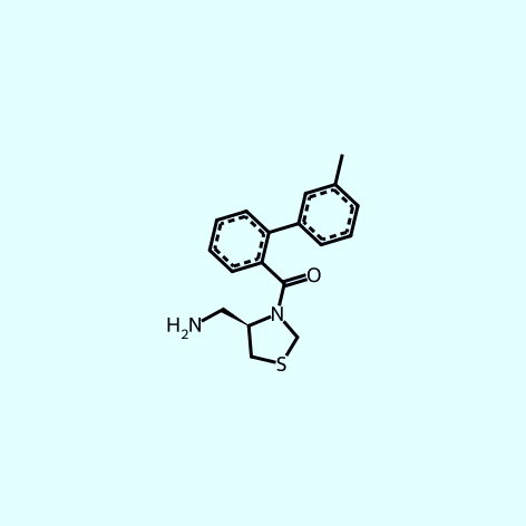 Cc1cccc(-c2ccccc2C(=O)N2CSC[C@H]2CN)c1